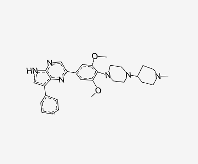 COc1cc(-c2cnc3[nH]cc(-c4cc[c]cc4)c3n2)cc(OC)c1N1CCN(C2CCN(C)CC2)CC1